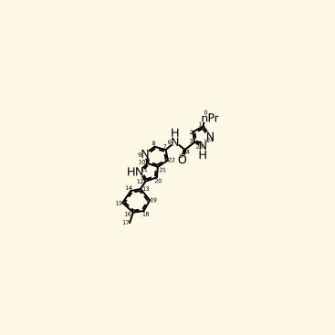 CCCc1cc(C(=O)Nc2cnc3[nH]c(-c4ccc(C)cc4)cc3c2)[nH]n1